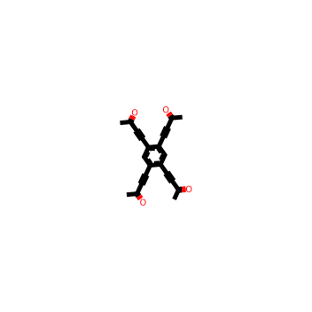 CC(=O)C#Cc1cc(C#CC(C)=O)c(C#CC(C)=O)cc1C#CC(C)=O